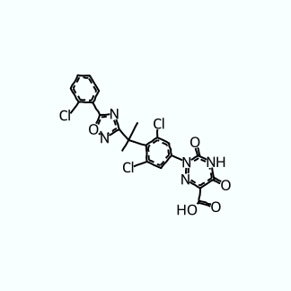 CC(C)(c1noc(-c2ccccc2Cl)n1)c1c(Cl)cc(-n2nc(C(=O)O)c(=O)[nH]c2=O)cc1Cl